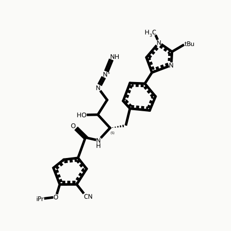 CC(C)Oc1ccc(C(=O)N[C@@H](Cc2ccc(-c3cn(C)c(C(C)(C)C)n3)cc2)C(O)CN=[N+]=N)cc1C#N